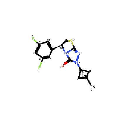 N#CC12CC(n3nc4n(c3=O)[C@@H](c3cc(F)cc(F)c3)CS4)(C1)C2